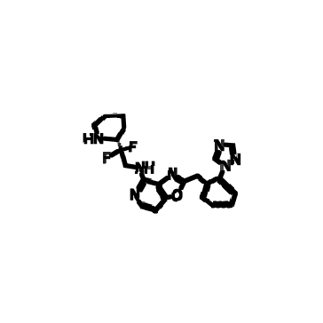 FC(F)(CNc1nccc2oc(Cc3ccccc3-n3cncn3)nc12)[C@H]1CCCCN1